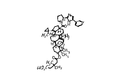 CC(C)(CC(=O)O)CC(=O)O[C@H]1CC[C@]2(C)[C@H]3CC[C@@H]4[C@H]5[C@H](C6(C)CC6)CC[C@]5(C(=O)N5CCC[C@H]5c5ncc(-c6cccnc6)[nH]5)CC[C@@]4(C)[C@]3(C)CC[C@H]2C1(C)C